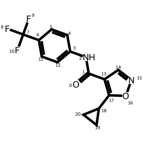 O=C(Nc1ccc(C(F)(F)F)cc1)c1cnoc1C1CC1